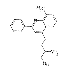 Cc1cccc2c(CCC(N)CO)cc(-c3ccccc3)nc12